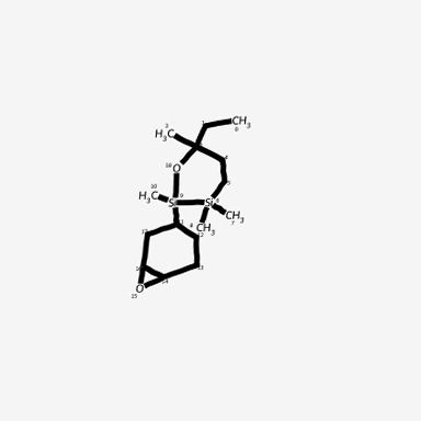 CCC1(C)CC[Si](C)(C)[Si](C)(C2CCC3OC3C2)O1